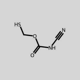 N#CNC(=O)OCS